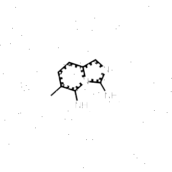 Cc1ccc2cnc(N)n2c1N